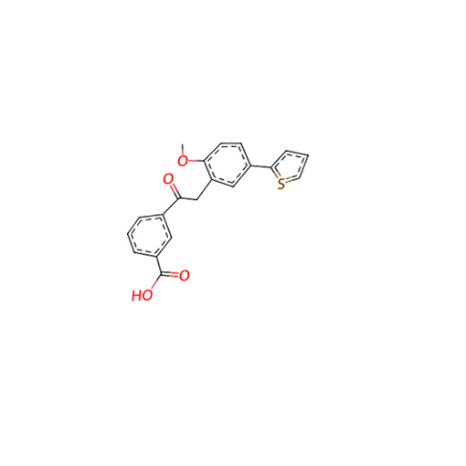 COc1ccc(-c2cccs2)cc1CC(=O)c1cccc(C(=O)O)c1